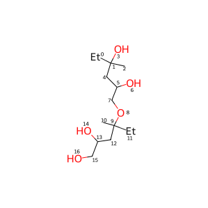 CCC(C)(O)CC(O)COC(C)(CC)CC(O)CO